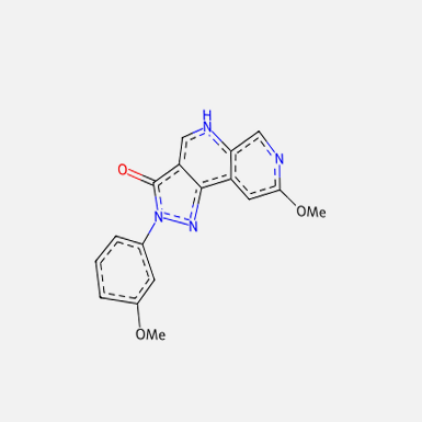 COc1cccc(-n2nc3c4cc(OC)ncc4[nH]cc-3c2=O)c1